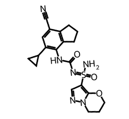 N#Cc1cc(C2CC2)c(NC(=O)N=S(N)(=O)c2cnn3c2OCCC3)c2c1CCC2